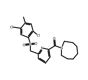 Cc1cc(Cl)c(S(=O)(=O)Cc2cccc(C(=O)N3CCCCCCC3)n2)cc1Cl